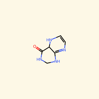 O=C1NCNC2=NC=CNC12